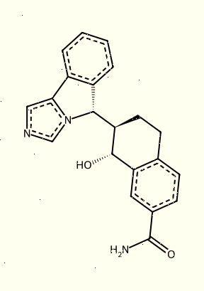 NC(=O)c1ccc2c(c1)[C@H](O)[C@@H]([C@H]1c3ccccc3-c3cncn31)CC2